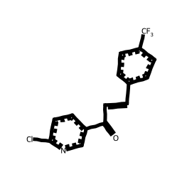 O=C(C=Cc1ccc(C(F)(F)F)cc1)c1ccc(Cl)nc1